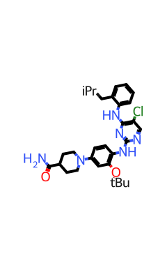 CC(C)Cc1ccccc1Nc1nc(Nc2ccc(N3CCC(C(N)=O)CC3)cc2OC(C)(C)C)ncc1Cl